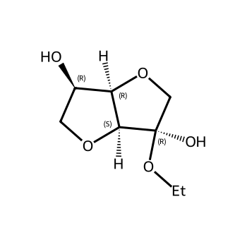 CCO[C@]1(O)CO[C@@H]2[C@H](O)CO[C@@H]21